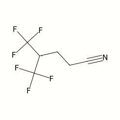 N#CCC[C](C(F)(F)F)C(F)(F)F